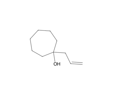 C=CCC1(O)CCCCCC1